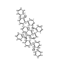 c1ccc(N(c2cccc(-c3cccc4c3oc3ccccc34)c2)c2c3ccccc3c(N(c3ccccc3)c3cccc(-c4cccc5c4oc4ccccc45)c3)c3ccccc23)cc1